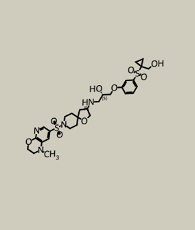 CN1CCOc2ncc(S(=O)(=O)N3CCC4(CC3)C[C@@H](NC[C@H](O)COc3cccc(S(=O)(=O)C5(CO)CC5)c3)CO4)cc21